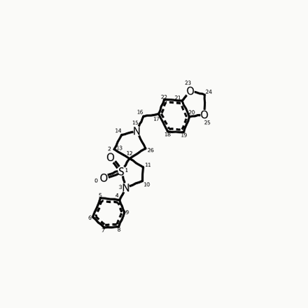 O=S1(=O)N(c2ccccc2)CCC12CCN(Cc1ccc3c(c1)OCO3)C2